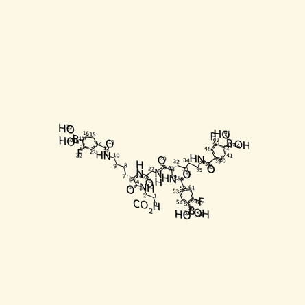 O=C(O)CCNC(=O)[C@H](CCCCNC(=O)c1ccc(B(O)O)c(F)c1)NC(=O)CNC(=O)[C@H](CCCCNC(=O)c1ccc(B(O)O)c(F)c1)NC(=O)c1ccc(B(O)O)c(F)c1